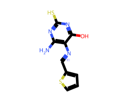 Nc1nc(S)nc(O)c1/N=C/c1cccs1